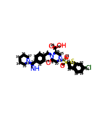 N=C(c1ccc(CN2C(=O)CN(S(=O)(=O)c3cc4ccc(Cl)cc4s3)C[C@@H]2C(=O)O)cc1)N1CCCCC1